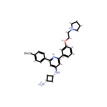 COc1ccc(-c2cc(N[C@H]3C[C@@H](N)C3)cc(-c3cccc(OCCN4CCCC4)c3)n2)cc1